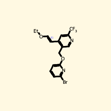 CCO/C=C/c1cc(C(F)(F)F)ncc1COc1cccc(Br)n1